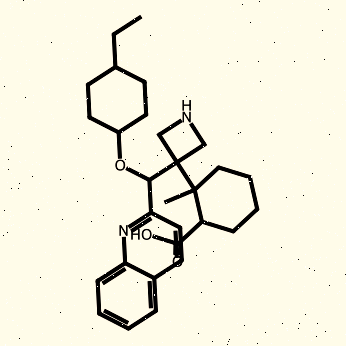 CCC1CCC(OC(c2ccc3ccccc3n2)C2(C3(C)CCCCC3C(=O)O)CNC2)CC1